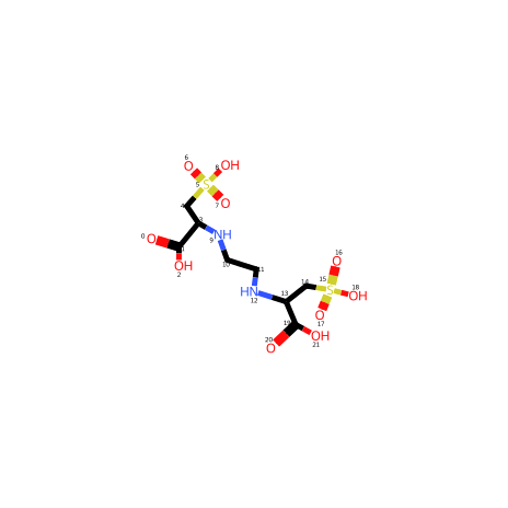 O=C(O)C(CS(=O)(=O)O)NCCNC(CS(=O)(=O)O)C(=O)O